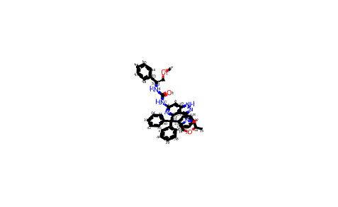 COC[C@@H](NC(=O)Nc1cc2[nH]nc(N3CCOC(C)C3)c2c(C(c2ccccc2)(c2ccccc2)c2ccccc2)n1)c1ccccc1